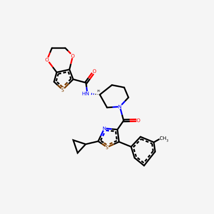 Cc1cccc(-c2sc(C3CC3)nc2C(=O)N2CCC[C@@H](NC(=O)c3scc4c3OCCO4)C2)c1